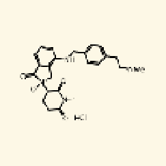 CNCCc1ccc(CNc2cccc3c2C[N+]([O-])(C2CCC(=O)N(C)C2=O)C3=O)cc1.Cl